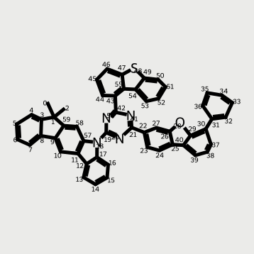 CC1(C)c2ccccc2-c2cc3c4ccccc4n(-c4nc(-c5ccc6c(c5)oc5c(-c7ccccc7)cccc56)nc(-c5cccc6sc7ccccc7c56)n4)c3cc21